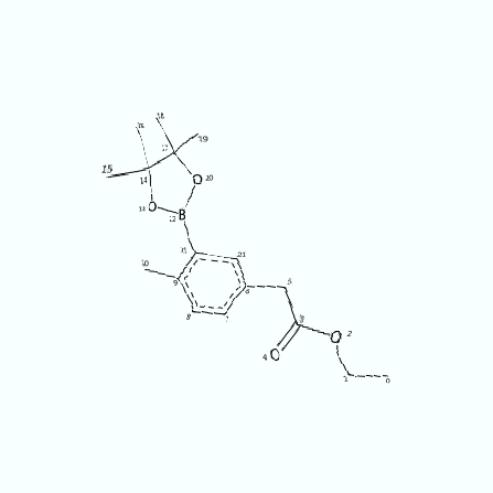 CCOC(=O)Cc1ccc(C)c(B2OC(C)(C)C(C)(C)O2)c1